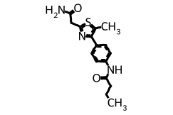 CCCC(=O)Nc1ccc(-c2nc(CC(N)=O)sc2C)cc1